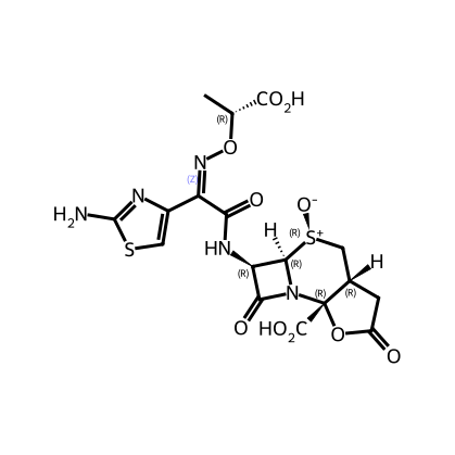 C[C@@H](O/N=C(\C(=O)N[C@@H]1C(=O)N2[C@@H]1[S@@+]([O-])C[C@@H]1CC(=O)O[C@@]12C(=O)O)c1csc(N)n1)C(=O)O